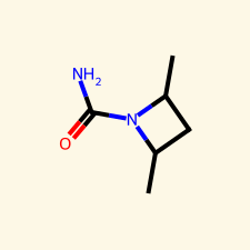 CC1CC(C)N1C(N)=O